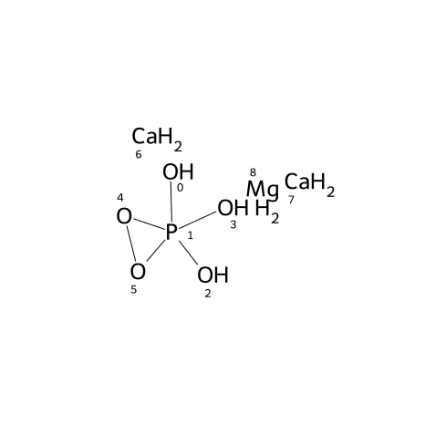 OP1(O)(O)OO1.[CaH2].[CaH2].[MgH2]